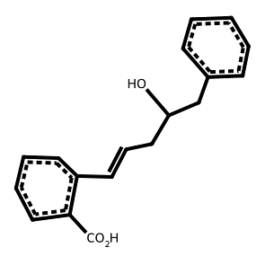 O=C(O)c1ccccc1C=CCC(O)Cc1ccccc1